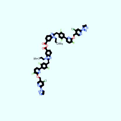 COCCn1c(Cc2cc(F)c(-c3ccc(F)c(OCc4cnc(-n5ccnn5)cc4Cl)n3)cc2F)nc2ccc(C(=O)OC(=O)c3ccc4nc(Cc5cc(F)c(-c6ccc(F)c(OCc7cnc(-n8ccnn8)cc7Cl)n6)cc5F)n(CCOC)c4c3)cc21